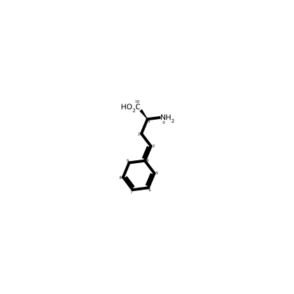 N[C@@H](C/C=C1/C=CC=CC1)C(=O)O